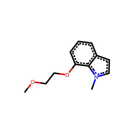 COCCOc1cccc2ccn(C)c12